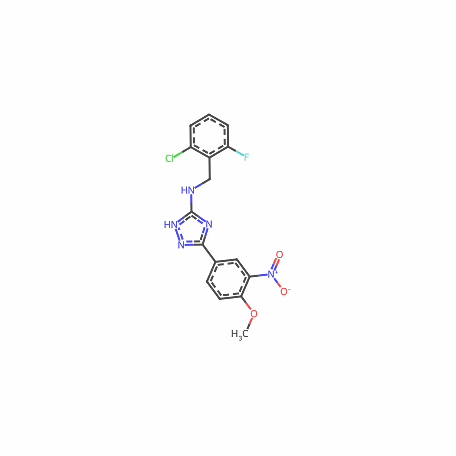 COc1ccc(-c2n[nH]c(NCc3c(F)cccc3Cl)n2)cc1[N+](=O)[O-]